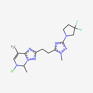 CC1N(Cl)C=C(C(F)(F)F)c2nc(CCc3nc(N4CCC(F)(F)C4)nn3C)nn21